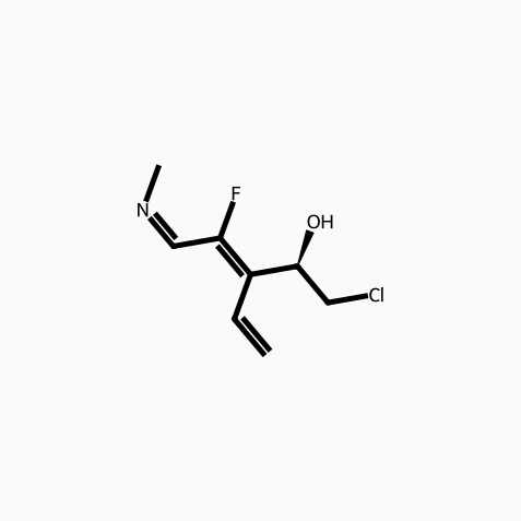 C=C/C(=C(F)\C=N/C)[C@@H](O)CCl